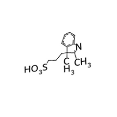 CC1=Nc2ccccc2C1(C)CCCS(=O)(=O)O